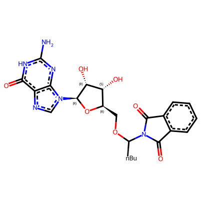 CCCCC(OC[C@H]1O[C@@H](n2cnc3c(=O)[nH]c(N)nc32)[C@H](O)[C@@H]1O)N1C(=O)c2ccccc2C1=O